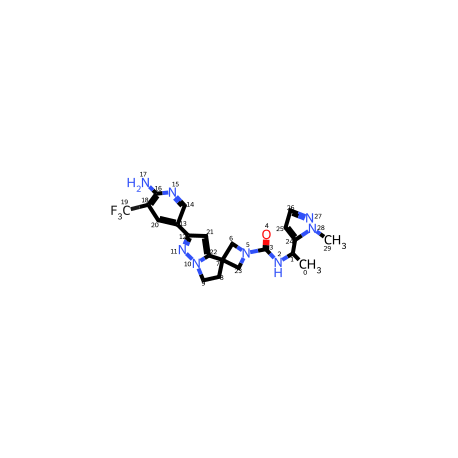 CC(NC(=O)N1CC2(CCn3nc(-c4cnc(N)c(C(F)(F)F)c4)cc32)C1)c1ccnn1C